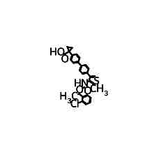 Cc1scc(-c2ccc(-c3ccc(C4(C(=O)O)CC4)cc3)cc2)c1NC(=O)OC(C)c1ccccc1Cl